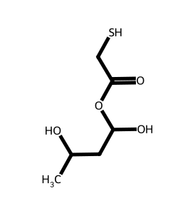 CC(O)CC(O)OC(=O)CS